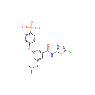 CC(C)Oc1cc(Oc2ccc(P(=O)(O)O)nc2)cc(C(=O)Nc2ncc(Cl)s2)c1